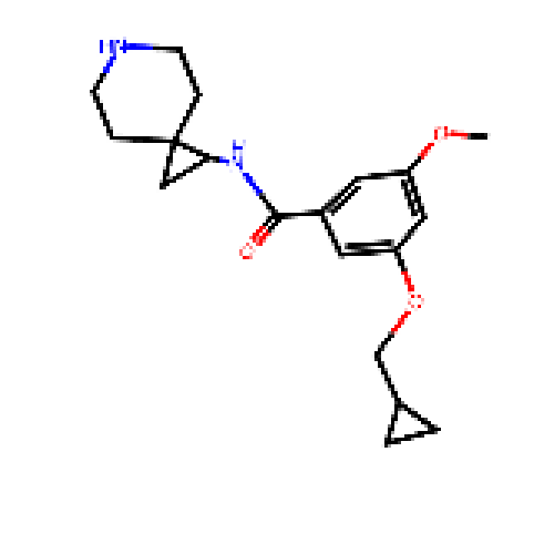 COc1cc(OCC2CC2)cc(C(=O)NC2CC23CCNCC3)c1